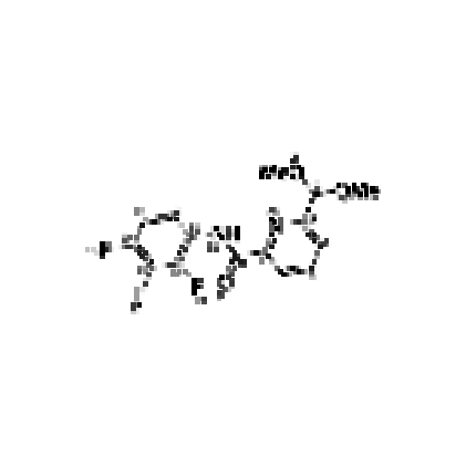 COC(OC)c1cccc(C(=O)Nc2ccc(F)c(F)c2F)n1